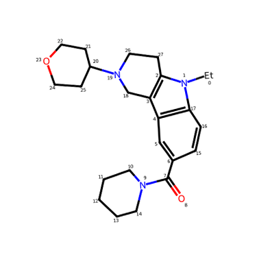 CCn1c2c(c3cc(C(=O)N4CCCCC4)ccc31)CN(C1CCOCC1)CC2